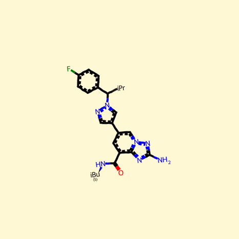 CC[C@H](C)NC(=O)c1cc(-c2cnn(C(c3ccc(F)cc3)C(C)C)c2)cn2nc(N)nc12